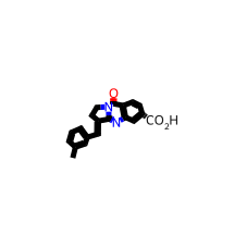 Cc1cccc(C=C2CCn3c2nc2cc(C(=O)O)ccc2c3=O)c1